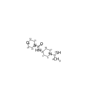 CC(S)N1CCC(NC(=O)N2CCOCC2)CC1